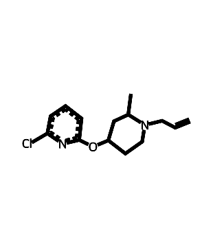 C=CCN1CCC(Oc2cccc(Cl)n2)CC1C